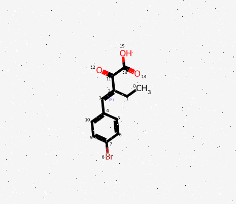 CC/C(=C\c1ccc(Br)cc1)C(=O)C(=O)O